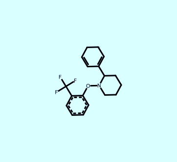 FC(F)(F)c1ccccc1ON1CCCCC1C1=C[CH]CC=C1